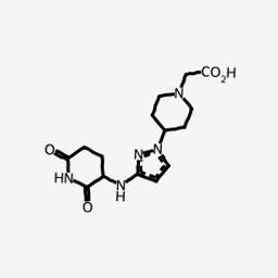 O=C(O)CN1CCC(n2ccc(NC3CCC(=O)NC3=O)n2)CC1